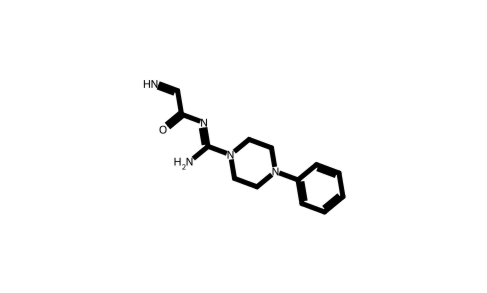 N=CC(=O)/N=C(\N)N1CCN(c2ccccc2)CC1